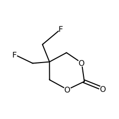 O=C1OCC(CF)(CF)CO1